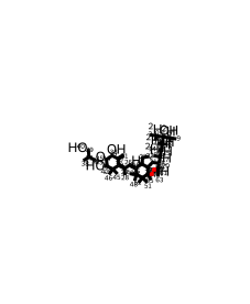 [2H]C([2H])(C)C(O)(C([2H])([2H])C)C([2H])(C)C([2H])([2H])C([2H])(C)[C@](C)([C@H]1CC[C@H]2/C(=C/C(C)=C3\C(=C)[C@@H](O)[C@H](OCC(C)CO)[C@](C)(O)C3(C)C)C(C)(C)C(C)(C)C(C)(C)[C@@]21C(C)C)C([2H])(C)C